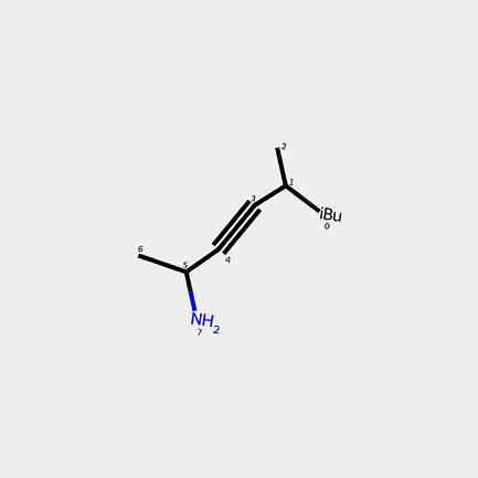 CCC(C)C(C)C#CC(C)N